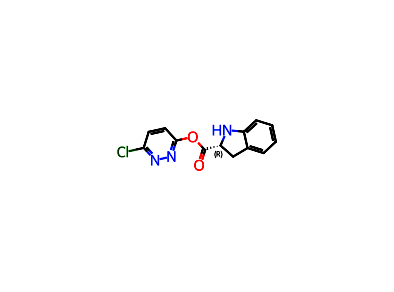 O=C(Oc1ccc(Cl)nn1)[C@H]1Cc2ccccc2N1